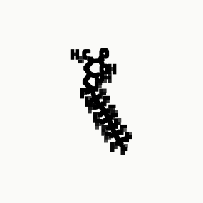 C=C(CC(O)CC(F)(F)C(F)(F)C(F)(F)C(F)(F)C(F)(F)C(F)(F)C(F)(F)C(F)(F)F)C(=O)O